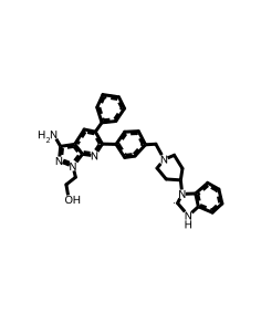 Nc1nn(CCO)c2nc(-c3ccc(CN4CCC(N5[CH]Nc6ccccc65)CC4)cc3)c(-c3ccccc3)cc12